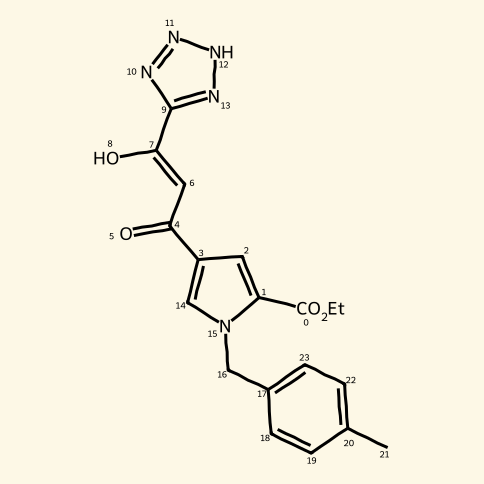 CCOC(=O)c1cc(C(=O)C=C(O)c2nn[nH]n2)cn1Cc1ccc(C)cc1